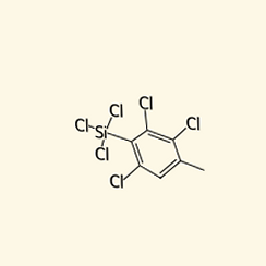 Cc1cc(Cl)c([Si](Cl)(Cl)Cl)c(Cl)c1Cl